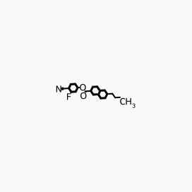 CCCCc1ccc2cc(C(=O)Oc3ccc(C#N)c(F)c3)ccc2c1